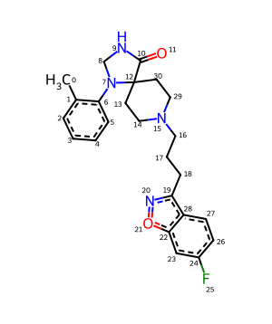 Cc1ccccc1N1CNC(=O)C12CCN(CCCc1noc3cc(F)ccc13)CC2